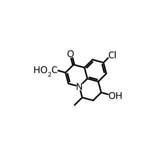 CC1CC(O)c2cc(Cl)cc3c(=O)c(C(=O)O)cn1c23